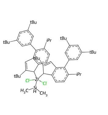 CC(C)c1ccc2c(c1-c1cc(C(C)(C)C)cc(C(C)(C)C)c1)C=C(C(C)(C)C)[CH]2[Zr]([Cl])([Cl])([CH]1C(C(C)(C)C)=Cc2c1ccc(C(C)C)c2-c1cc(C(C)(C)C)cc(C(C)(C)C)c1)[SiH](C)C